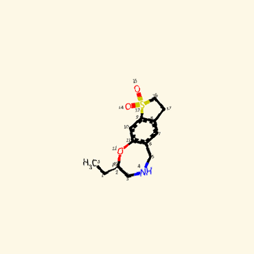 CC[C@@H]1CNCc2cc3c(cc2O1)S(=O)(=O)CC3